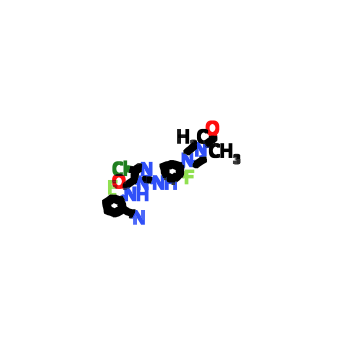 CC(C)(C=O)N1CCN(c2ccc(Nc3ncc(Cl)c(C(=O)Nc4c(F)cccc4C#N)n3)cc2F)CC1